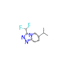 CC(C)c1ccc2nnc(C(F)F)n2c1